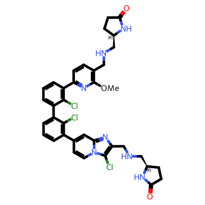 COc1nc(-c2cccc(-c3cccc(-c4ccn5c(Cl)c(CNC[C@H]6CCC(=O)N6)nc5c4)c3Cl)c2Cl)ccc1CNC[C@H]1CCC(=O)N1